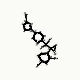 Fc1ccc(C2(C(F)(F)c3ccc(-c4ccc(Br)s4)cn3)CO2)c(F)c1